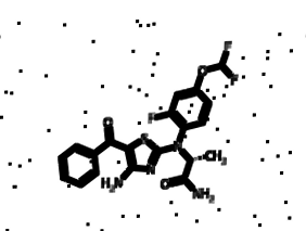 C[C@H](C(N)=O)N(c1nc(N)c(C(=O)c2ccccc2)s1)c1ccc(OC(F)F)cc1F